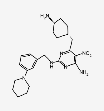 Nc1nc(NCc2cccc(N3CCCCC3)c2)nc(C[C@H]2CC[C@H](N)CC2)c1[N+](=O)[O-]